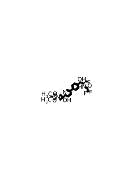 CC(C)S(=O)(=O)N1CC(O)(c2ccc(-c3ccc([C@H](O)[C@@H](CF)NC(=O)C(F)F)cc3)cn2)C1